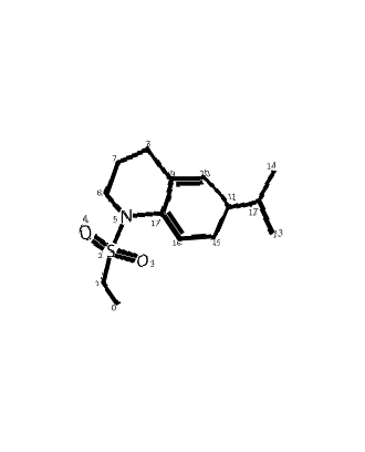 CCS(=O)(=O)N1CCCC2=CC(C(C)C)CC=C21